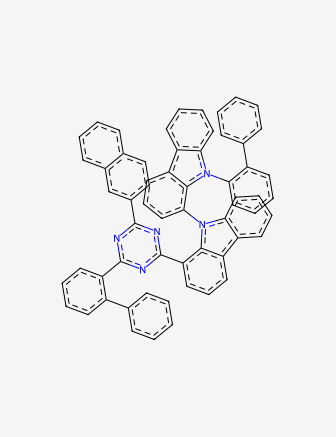 c1ccc(-c2ccccc2-c2nc(-c3ccc4ccccc4c3)nc(-c3cccc4c5ccccc5n(-c5cccc6c7ccccc7n(-c7ccccc7-c7ccccc7)c56)c34)n2)cc1